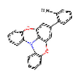 O=[N+]([O-])c1ccccc1-c1cc2c3c(c1)Oc1ccccc1N3c1ccccc1O2